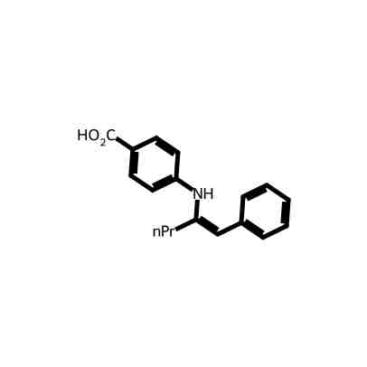 CCCC(=Cc1ccccc1)Nc1ccc(C(=O)O)cc1